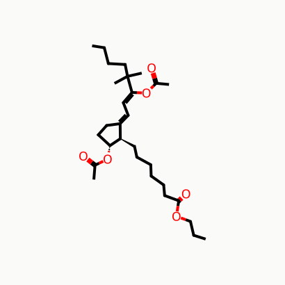 CCCCC(C)(C)C(=CC=C1CC[C@@H](OC(C)=O)[C@@H]1CCCCCCC(=O)OCCC)OC(C)=O